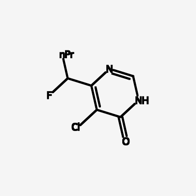 CCCC(F)c1nc[nH]c(=O)c1Cl